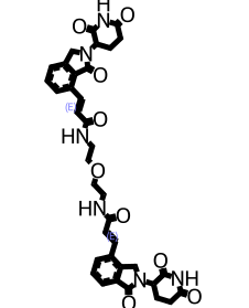 O=C(/C=C/c1cccc2c1CN(C1CCC(=O)NC1=O)C2=O)NCCOCCNC(=O)/C=C/c1cccc2c1C(=O)N(C1CCC(=O)NC1=O)C2